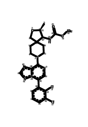 C[C@@H]1OCC2(CCN(c3ncc(-c4cccc(Cl)c4Cl)n4ncnc34)CC2)C1NC(=O)OC(C)(C)C